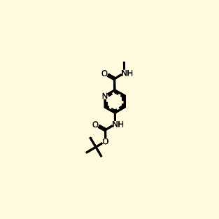 CNC(=O)c1ccc(NC(=O)OC(C)(C)C)cn1